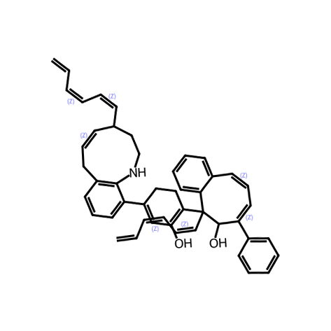 C=C/C=C\C=C/C1/C=C\Cc2cccc(C3=CC(O)=C(C4(/C=C\C=C/C=C)c5ccccc5/C=C\C=C(\c5ccccc5)C4O)CC3)c2NCC1